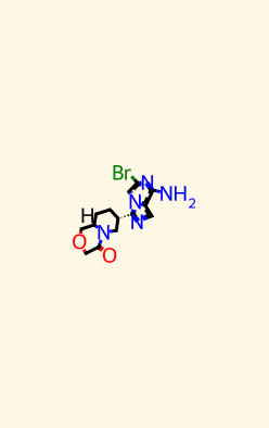 Nc1nc(Br)cn2c([C@H]3CC[C@@H]4COCC(=O)N4C3)ncc12